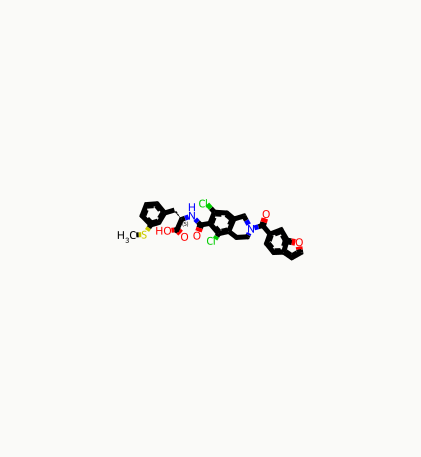 CSc1cccc(C[C@H](NC(=O)c2c(Cl)cc3c(c2Cl)CCN(C(=O)c2ccc4ccoc4c2)C3)C(=O)O)c1